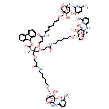 CN(C(=O)OC1c2ccccc2-c2ccccc21)C(COCCC(=O)NCCCCCCOC[C@@]12CO[C@@H](O1)[C@H](Nc1cccc(C(F)(F)F)n1)[C@@H](O)[C@H]2O)(COCCC(=O)NCCCCCCOC[C@@]12CO[C@@H](O1)[C@H](Nc1cccc(C(F)(F)F)n1)[C@@H](O)[C@H]2O)COCCC(=O)NCCCCCCOC[C@@]12CO[C@@H](O1)[C@H](Nc1cccc(C(F)(F)F)n1)[C@@H](O)[C@H]2O